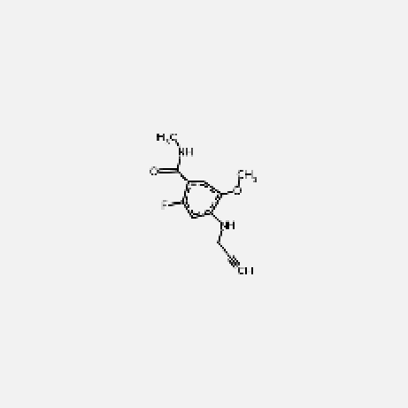 C#CCNc1cc(F)c(C(=O)NC)cc1OC